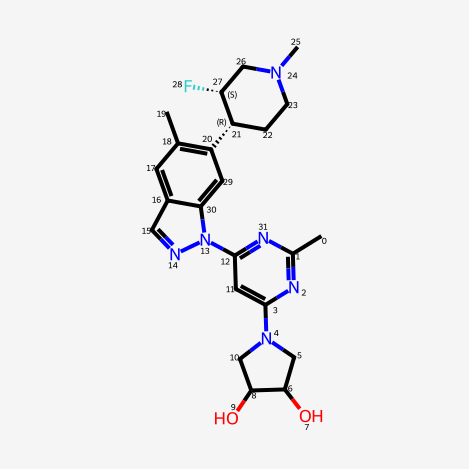 Cc1nc(N2CC(O)C(O)C2)cc(-n2ncc3cc(C)c([C@H]4CCN(C)C[C@H]4F)cc32)n1